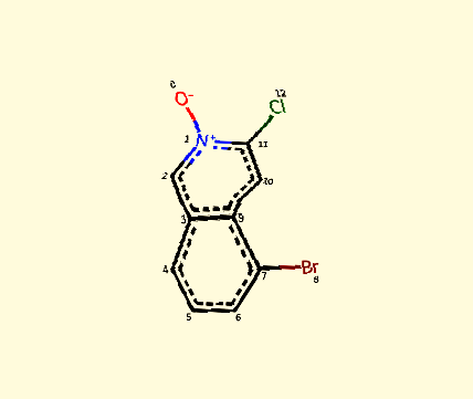 [O-][n+]1cc2cccc(Br)c2cc1Cl